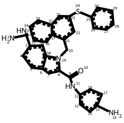 N=C(N)c1ccc2cc(C(=O)Nc3ccc(N)cc3)n(Cc3cc(Sc4ccccc4)cc4ccccc34)c2c1